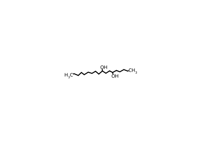 CCCCCCCCCC(O)CCC(O)CCCCC